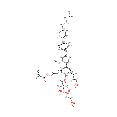 C=C(C)C(=O)OCCCc1cc(-c2ccc(-c3ccc(C4CCC(CCCCC)CC4)cc3)cc2CC)cc(CCCO)c1OCC(CO)(CO)COCCO